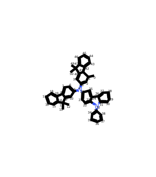 CC1C=C(N(c2ccc3c(c2)C(C)(C)c2ccccc2-3)c2ccc3c(c2)c2ccccc2n3-c2ccccc2)C=C2C1c1ccccc1C2(C)C